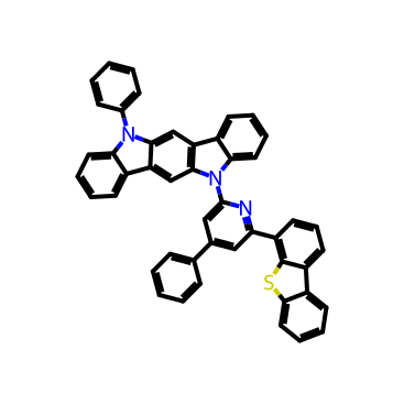 c1ccc(-c2cc(-c3cccc4c3sc3ccccc34)nc(-n3c4ccccc4c4cc5c(cc43)c3ccccc3n5-c3ccccc3)c2)cc1